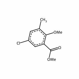 COC(=O)c1cc(Cl)cc(C)c1OC